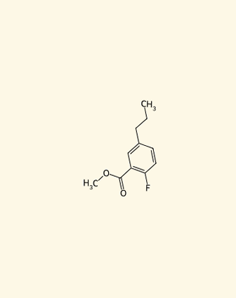 CCCc1ccc(F)c(C(=O)OC)c1